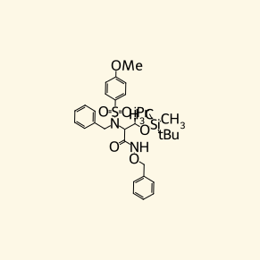 COc1ccc(S(=O)(=O)N(Cc2ccccc2)C(C(=O)NOCc2ccccc2)[C@H](O[Si](C)(C)C(C)(C)C)C(C)C)cc1